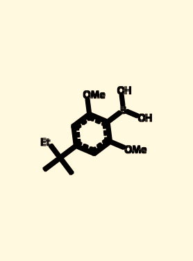 CCC(C)(C)c1cc(OC)c(B(O)O)c(OC)c1